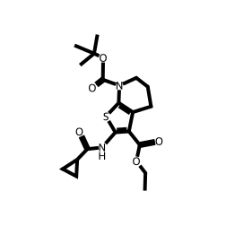 CCOC(=O)c1c(NC(=O)C2CC2)sc2c1CCCN2C(=O)OC(C)(C)C